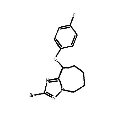 Fc1ccc(OC2CCCCn3nc(Br)nc32)cc1